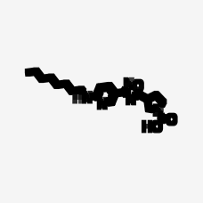 CCCCCCCCNc1ccc(-c2noc(C3CCN(C(=O)O)C3)n2)cn1